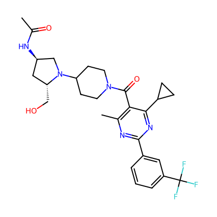 CC(=O)N[C@@H]1C[C@@H](CO)N(C2CCN(C(=O)c3c(C)nc(-c4cccc(C(F)(F)F)c4)nc3C3CC3)CC2)C1